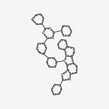 c1ccc(-c2nc(-c3ccccc3)nc(-c3cccc(-c4cccc(-n5c6c7ccccc7ccc6c6ccc7nc(-c8ccccc8)oc7c65)c4)c3)n2)cc1